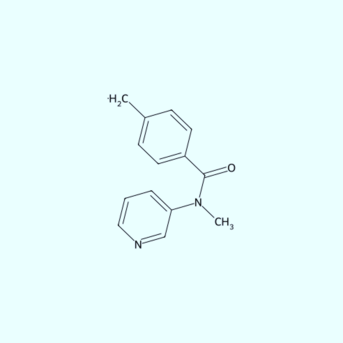 [CH2]c1ccc(C(=O)N(C)c2cccnc2)cc1